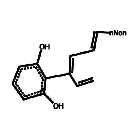 C=CC(=CC=CCCCCCCCCC)c1c(O)cccc1O